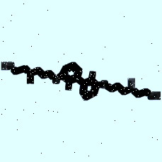 Cc1c(OCCCNCCO)cccc1-c1cccc(OCCCNCCO)c1C